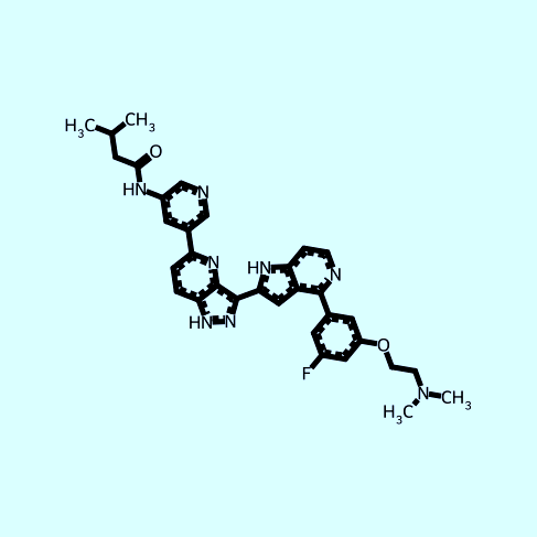 CC(C)CC(=O)Nc1cncc(-c2ccc3[nH]nc(-c4cc5c(-c6cc(F)cc(OCCN(C)C)c6)nccc5[nH]4)c3n2)c1